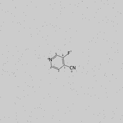 N#Cc1ccncc1F